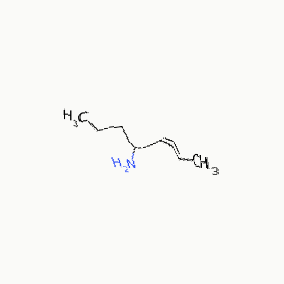 CC=CC(N)CCC